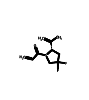 C=CC(=O)N1CC(F)(F)C[C@H]1C(=C)C